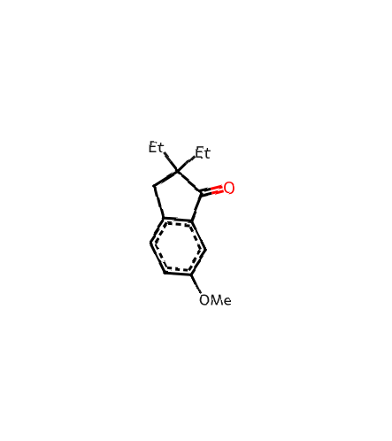 CCC1(CC)Cc2ccc(OC)cc2C1=O